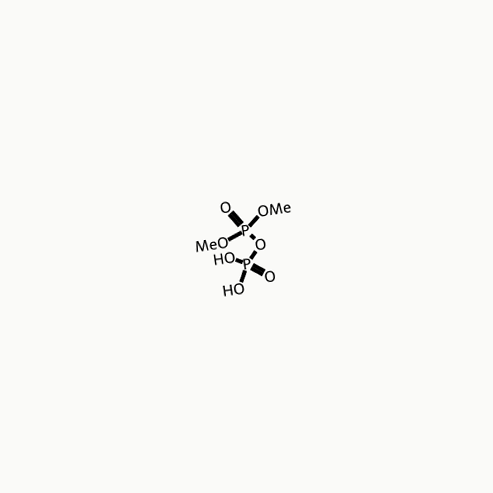 COP(=O)(OC)OP(=O)(O)O